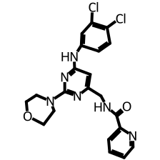 O=C(NCc1cc(Nc2ccc(Cl)c(Cl)c2)nc(N2CCOCC2)n1)c1ccccn1